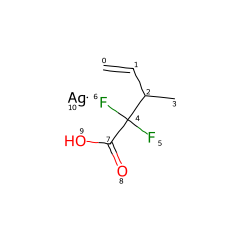 C=CC(C)C(F)(F)C(=O)O.[Ag]